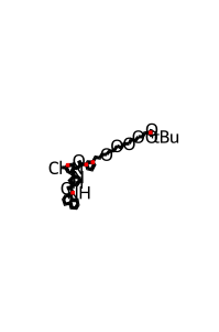 CC(C)(C)OC(=O)CCOCCOCCOCCOCCCc1cccc(C(=O)Nc2ccc(Cl)cc2-c2cc(C(=O)NC3CCCc4ccccc43)ccn2)c1